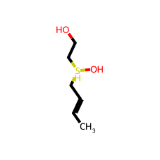 CC=CC[SH](O)CCO